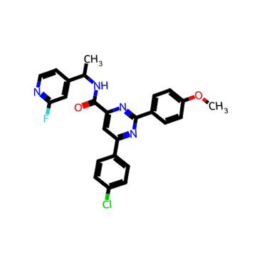 COc1ccc(-c2nc(C(=O)NC(C)c3ccnc(F)c3)cc(-c3ccc(Cl)cc3)n2)cc1